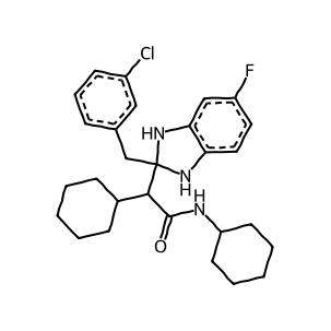 O=C(NC1CCCCC1)C(C1CCCCC1)C1(Cc2cccc(Cl)c2)Nc2ccc(F)cc2N1